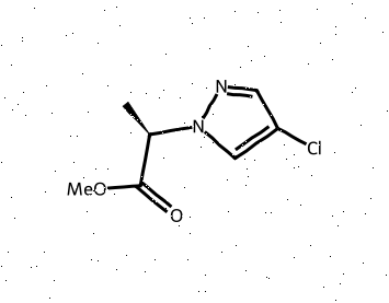 COC(=O)[C@@H](C)n1cc(Cl)cn1